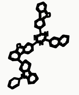 C1=CCC(n2c3ccccc3c3ccc(-c4cccc5oc6cc(-c7nc(-c8ccc9ccccc9c8)nc(-c8ccc9c(c8)oc8ccccc89)n7)ccc6c45)cc32)C=C1